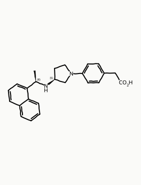 C[C@@H](N[C@H]1CCN(c2ccc(CC(=O)O)cc2)C1)c1cccc2ccccc12